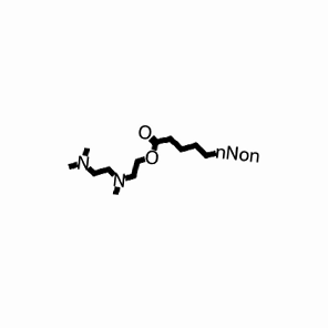 CCCCCCCCCCCCCC(=O)OCCN(C)CCN(C)C